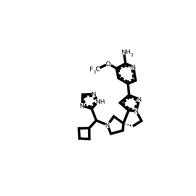 Nc1ncc(-c2cc3n(n2)CC[C@@]32CCN(C(c3ncn[nH]3)C3CCC3)C2)cc1OC(F)(F)F